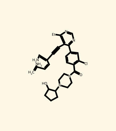 C=C(N)/C=C\C(C#Cc1c(CC)ncnc1-c1ccc(C(=O)N2CCN(C3CCCC3O)CC2)c(Cl)c1)=C/N